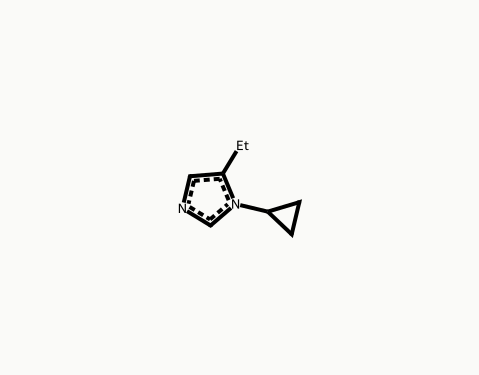 CCc1cncn1C1CC1